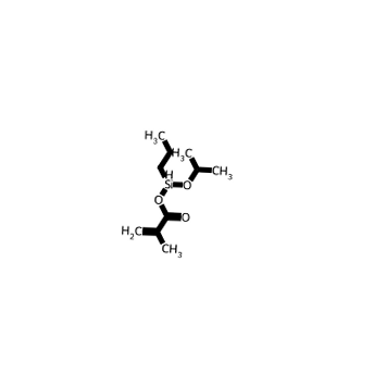 C=C(C)C(=O)O[SiH](CCC)OC(C)C